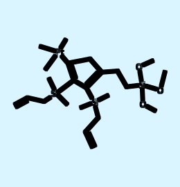 C=CC[Si](C)(C)C1=C(CC[Si](OC)(OC)OC)C[C]([Pt]([CH3])([CH3])[CH3])=C1[Si](C)(C)CC=C